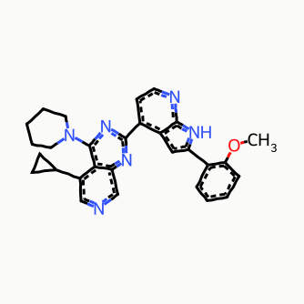 COc1ccccc1-c1cc2c(-c3nc(N4CCCCC4)c4c(C5CC5)cncc4n3)ccnc2[nH]1